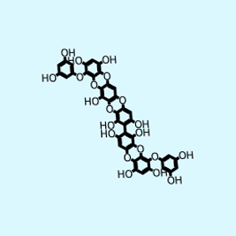 Oc1cc(O)cc(Oc2c(O)cc(O)c3c2Oc2c(cc(O)c(-c4c(O)cc5oc6cc7oc8c(O)cc(O)c(Oc9cc(O)cc(O)c9)c8oc7c(O)c6oc5c4O)c2O)O3)c1